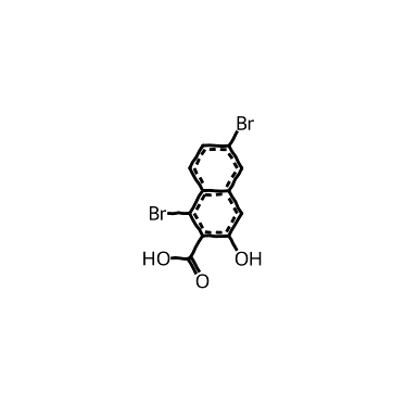 O=C(O)c1c(O)cc2cc(Br)ccc2c1Br